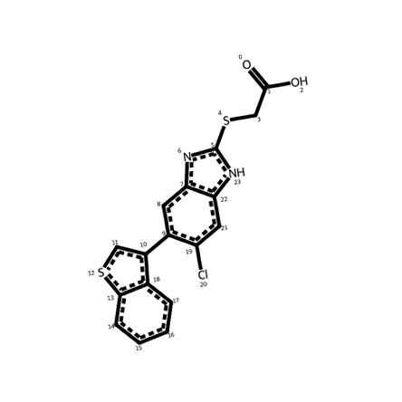 O=C(O)CSc1nc2cc(-c3csc4ccccc34)c(Cl)cc2[nH]1